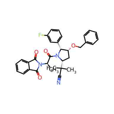 C[C@H](C(=O)N1[C@H](c2cccc(F)c2)[C@H](OCc2ccccc2)C[C@@H]1C(C)(C)C#N)N1C(=O)c2ccccc2C1=O